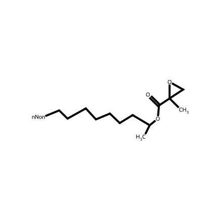 CCCCCCCCCCCCCCCCC(C)OC(=O)C1(C)CO1